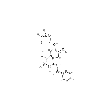 CCN(C(=O)c1ccc(-c2ccccc2)cc1)c1ccc(OC)c(OCCN(C)C(C)C)c1